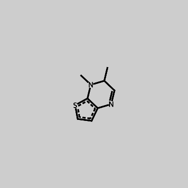 CC1C=Nc2ccsc2N1C